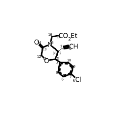 C#C[C@@H]1C(c2ccc(Cl)cc2)OCC(=O)N1CC(=O)OCC